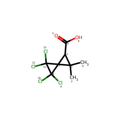 CC1(C)C(C(=O)O)C12C(Cl)(Cl)C2(Cl)Cl